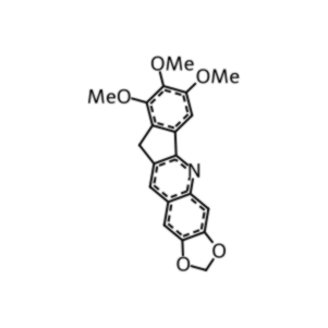 COc1cc2c(c(OC)c1OC)Cc1cc3cc4c(cc3nc1-2)OCO4